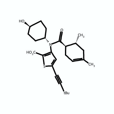 CC1=CC[C@@H](C(=O)N(c2cc(C#CC(C)(C)C)sc2C(=O)O)[C@H]2CC[C@H](O)CC2)[C@H](C)C1